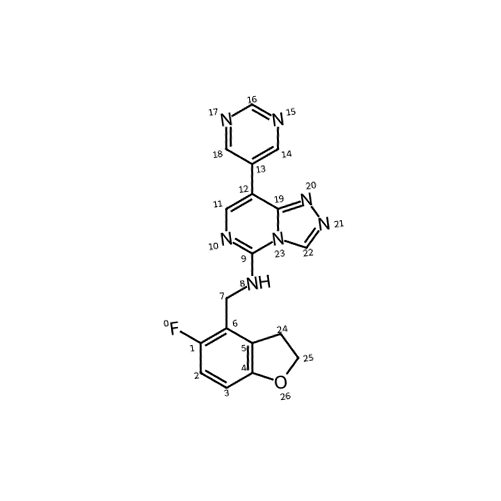 Fc1ccc2c(c1CNc1ncc(-c3cncnc3)c3nncn13)CCO2